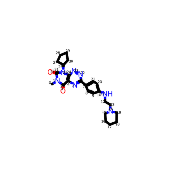 Cn1c(=O)c2nc(-c3ccc(NCCN4CCCCC4)cc3)nnc2n(C2CCCC2)c1=O